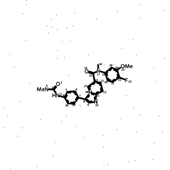 CNC(=O)Nc1ccc(-c2cnc3ccc(C(=O)N(C)c4ccc(F)c(OC)c4)cn23)cc1